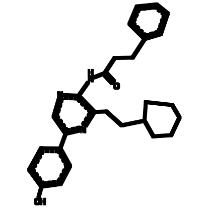 O=C(CCc1ccccc1)Nc1ncc(-c2ccc(O)cc2)nc1CCC1CCCCC1